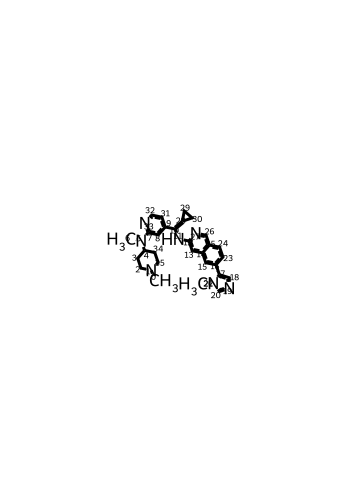 CN1CCC(N(C)c2cc(C(Nc3cc4cc(-c5cncn5C)ccc4cn3)=C3CC3)ccn2)CC1